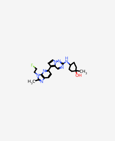 Cc1nc2ccc(-c3ccn4nc(NC5CCC(C)(O)CC5)ncc34)nc2n1CCF